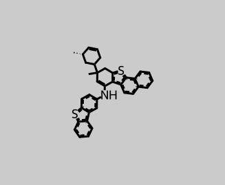 C[C@@H]1C=CCC(C2(C)C=C(Nc3ccc4sc5ccccc5c4c3)c3c(sc4c3ccc3ccccc34)C2)C1